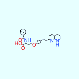 O=C(O)C(CCOC1CC(CCc2ccc3c(n2)NCCC3)C1)NC(=O)C1CC2CCC1CC2